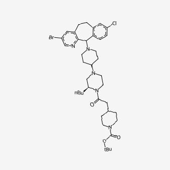 CCCC[C@H]1CN(C2CCN(C3c4ccc(Cl)cc4CCc4cc(Br)cnc43)CC2)CCN1C(=O)CC1CCN(C(=O)OC(C)(C)C)CC1